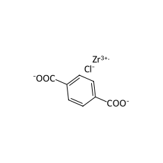 O=C([O-])c1ccc(C(=O)[O-])cc1.[Cl-].[Zr+3]